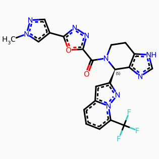 Cn1cc(-c2nnc(C(=O)N3CCc4[nH]cnc4[C@H]3c3cc4cccc(C(F)(F)F)n4n3)o2)cn1